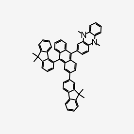 CN1c2ccccc2N(C)c2cc(-c3c4ccccc4c(-c4cccc5c4-c4ccccc4C5(C)C)c4cc(-c5ccc6c(c5)C(C)(C)c5ccccc5-6)ccc34)ccc21